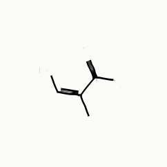 C/C(=C/O)C(=O)O